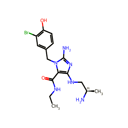 CCNC(=O)c1c(NC[C@@H](C)N)nc(N)n1Cc1ccc(O)c(Br)c1